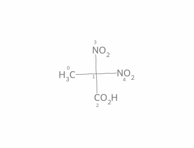 CC(C(=O)O)([N+](=O)[O-])[N+](=O)[O-]